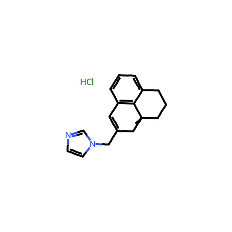 CC12CCCc3cccc(c31)C=C(Cn1ccnc1)C2.Cl